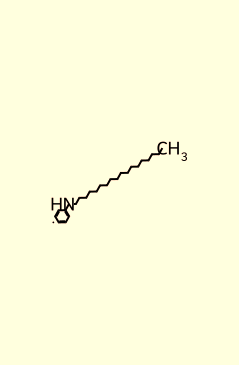 CCCCCCCCCCCCCCCCCCNc1cc[c]cc1